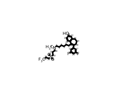 CN(CCCCCCC1=C(c2cc(F)cc(F)c2)CCCc2cc(O)ccc21)CCCS(=O)(=O)CCC(F)(F)F